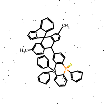 Cc1ccc2c(c1)C1(c3ccccc3-c3ccccc31)c1cc(C)ccc1C2c1ccc2c(c1)[Si](c1ccccc1)(c1ccccc1)c1ccccc1P2(=S)c1ccccc1